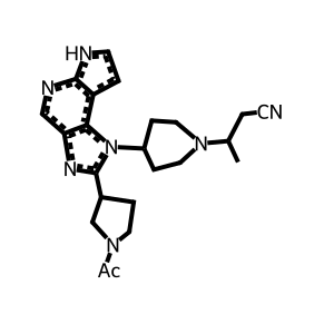 CC(=O)N1CCC(c2nc3cnc4[nH]ccc4c3n2C2CCN(C(C)CC#N)CC2)C1